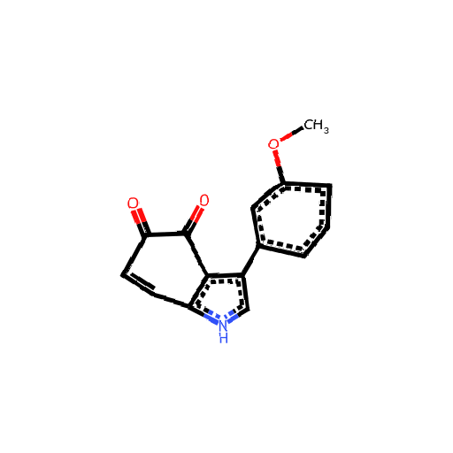 COc1cccc(-c2c[nH]c3c2C(=O)C(=O)C=C3)c1